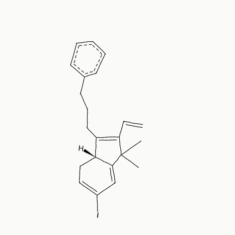 C=CC1=C(CCCc2ccccc2)[C@H]2CC=C(I)C=C2C1(C)C